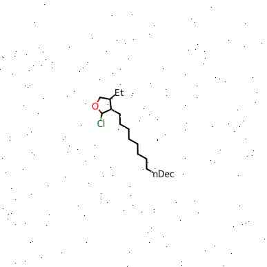 CCCCCCCCCCCCCCCCCCC1C(CC)COC1Cl